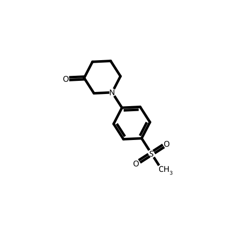 CS(=O)(=O)c1ccc(N2CCCC(=O)C2)cc1